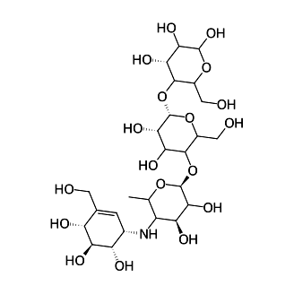 CC1O[C@@H](OC2C(CO)O[C@@H](OC3C(CO)OC(O)C(O)[C@H]3O)[C@@H](O)C2O)C(O)[C@@H](O)C1N[C@H]1C=C(CO)[C@@H](O)[C@H](O)[C@H]1O